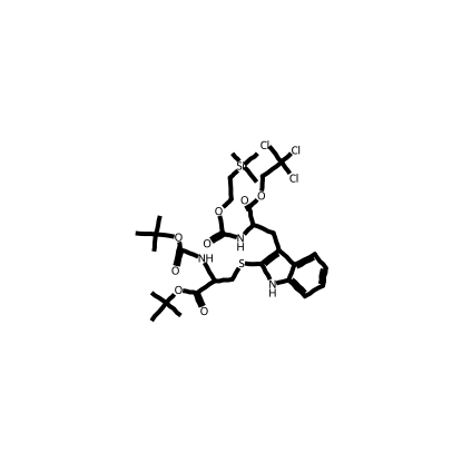 CC(C)(C)OC(=O)NC(CSc1[nH]c2ccccc2c1CC(NC(=O)OCC[Si](C)(C)C)C(=O)OCC(Cl)(Cl)Cl)C(=O)OC(C)(C)C